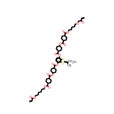 C=CC(=O)COCCCCCOC(=O)C1CCC(C(=O)OC2CCC(C(=O)Oc3ccc(OC(=O)C4CCC(OC(=O)C5CCC(C(=O)OCCCCCCOC(=O)C=C)CC5)CC4)c4c3S/C(=C(/C#N)C(=O)OCC)S4)CC2)CC1